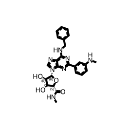 CNC(=O)[C@H]1O[C@@H](n2cnc3c(NCc4ccccc4)nc(-c4cccc(NC)c4)nc32)[C@H](O)[C@@H]1O